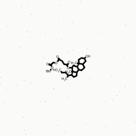 CC(CCC(=O)O)C1CCC2C3CCC4CC(O)CCC4(C)C3CC(OC(=O)CCC(=O)OCC(=O)OC(C)(C)C)C12C